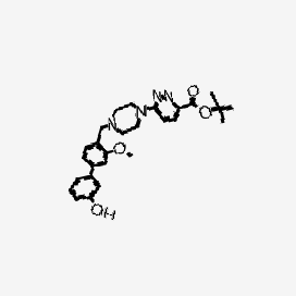 COc1cc(-c2cccc(O)c2)ccc1CN1CCN(c2ccc(C(=O)OC(C)(C)C)nn2)CC1